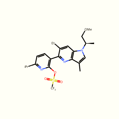 CCc1cc2c(nc1-c1ccc(C(C)C)nc1OS(=O)(=O)C(F)(F)F)c(C)cn2[C@H](C)COC